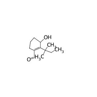 CCC(C)(C)C1=C(C=O)CCCC1O